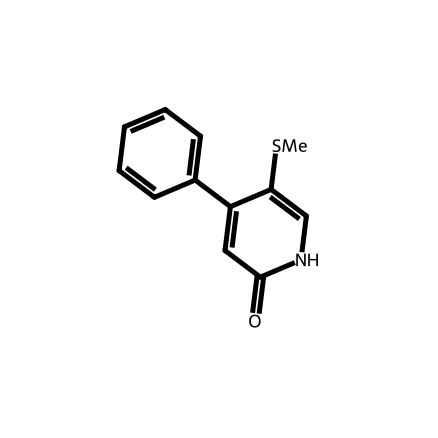 CSc1c[nH]c(=O)cc1-c1ccccc1